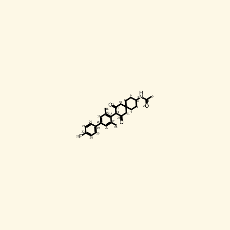 CC(=O)NC1CCC2(CC1)CC(=O)C(c1c(C)cc(-c3ccc(F)cc3)cc1C)C(=O)C2